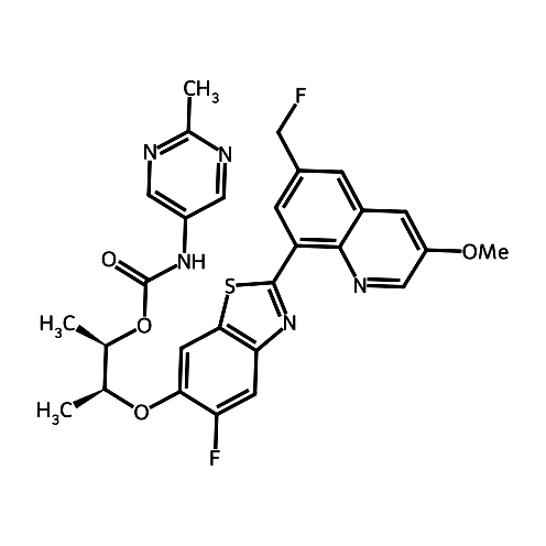 COc1cnc2c(-c3nc4cc(F)c(O[C@@H](C)[C@@H](C)OC(=O)Nc5cnc(C)nc5)cc4s3)cc(CF)cc2c1